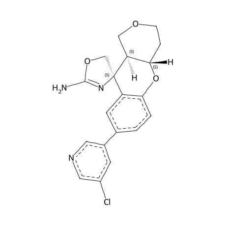 NC1=N[C@]2(CO1)c1cc(-c3cncc(Cl)c3)ccc1O[C@H]1CCOC[C@@H]12